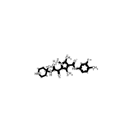 Cc1ccc(NC(=O)c2c(C)c(C(=O)C(=O)NC3(C)CCNCC3)n(C)c2C)cc1F